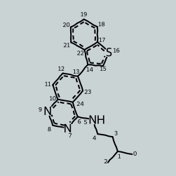 CC(C)CCNc1ncnc2ccc(-c3csc4ccccc34)cc12